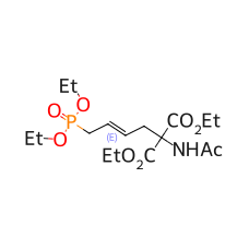 CCOC(=O)C(C/C=C/CP(=O)(OCC)OCC)(NC(C)=O)C(=O)OCC